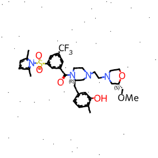 COC[C@@H]1CN(CCN2CCN(C(=O)c3cc(C(F)(F)F)cc(S(=O)(=O)n4c(C)ccc4C)c3)[C@H](Cc3ccc(C)c(O)c3)C2)CCO1